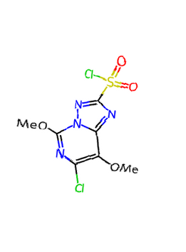 COc1c(Cl)nc(OC)n2nc(S(=O)(=O)Cl)nc12